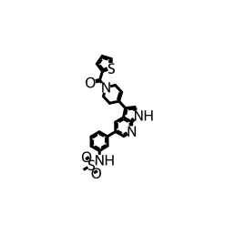 CS(=O)(=O)Nc1cccc(-c2cnc3[nH]cc(C4=CCN(C(=O)c5cccs5)CC4)c3c2)c1